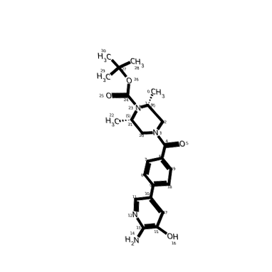 C[C@@H]1CN(C(=O)c2ccc(-c3cnc(N)c(O)c3)cc2)C[C@H](C)N1C(=O)OC(C)(C)C